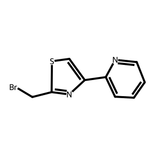 BrCc1nc(-c2ccccn2)cs1